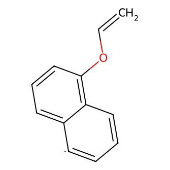 C=COc1cccc2[c]cccc12